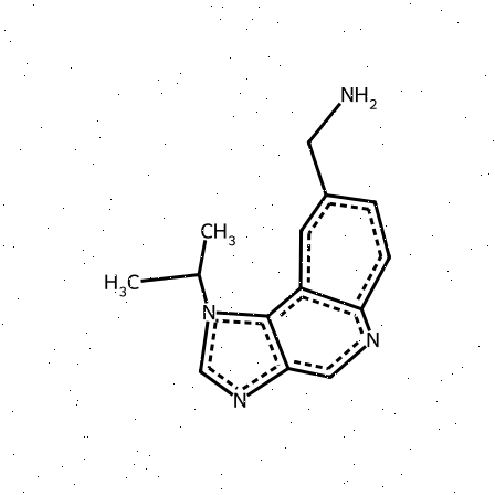 CC(C)n1cnc2cnc3ccc(CN)cc3c21